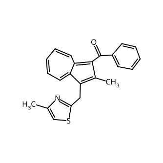 Cc1csc(Cc2c3cccccc-3c(C(=O)c3ccccc3)c2C)n1